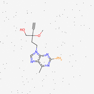 C#CC(CO)(CCn1cnc2c(C)nc(P)nc21)OC